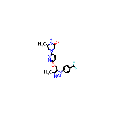 Cc1nnn(-c2ccc(C(F)F)cc2)c1COc1ccc(N2CC(=O)NC(C)C2)nn1